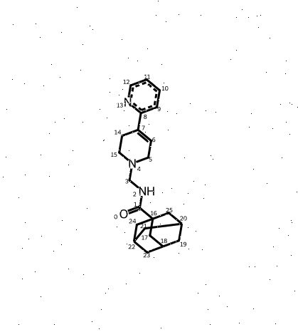 O=C(NCN1CC=C(c2ccccn2)CC1)C12CC3CC(CC(C3)C1)C2